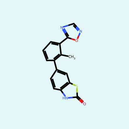 Cc1c(-c2ccc3[nH]c(=O)sc3c2)cccc1-c1ncno1